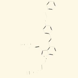 O=C(O)/C=C/c1cn(CCCC(=O)O)c2cccc(/C=C/c3ccc(OCCc4ccccc4)cc3)c12